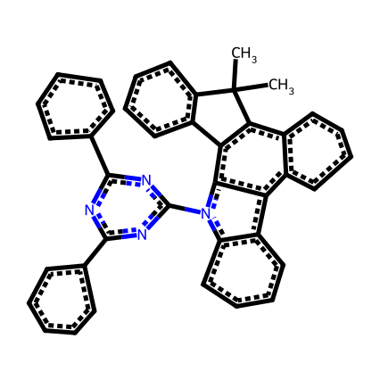 CC1(C)c2ccccc2-c2c1c1ccccc1c1c3ccccc3n(-c3nc(-c4ccccc4)nc(-c4ccccc4)n3)c21